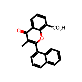 Cc1c(-c2cccc3ccccc23)oc2c(C(=O)O)cccc2c1=O